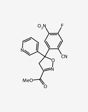 COC(=O)C1=NOC(c2cccnc2)(c2cc([N+](=O)[O-])c(F)cc2C#N)C1